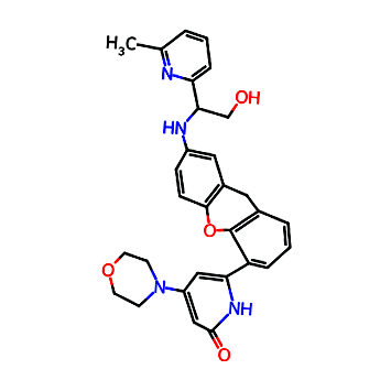 Cc1cccc(C(CO)Nc2ccc3c(c2)Cc2cccc(-c4cc(N5CCOCC5)cc(=O)[nH]4)c2O3)n1